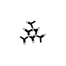 CC(=O)n1c(=O)n(C(C)=O)c(=O)n(C(C)=O)c1=O